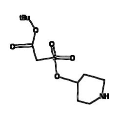 CC(C)(C)OC(=O)CS(=O)(=O)OC1CCNCC1